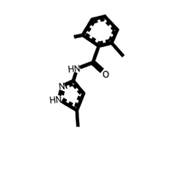 Cc1cc(NC(=O)c2c(C)cccc2C)n[nH]1